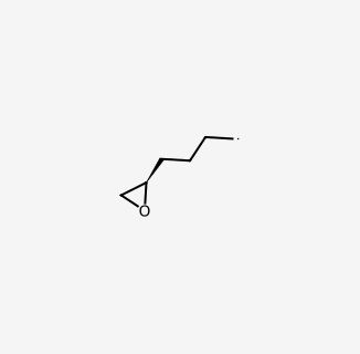 [CH2]CCC[C@@H]1CO1